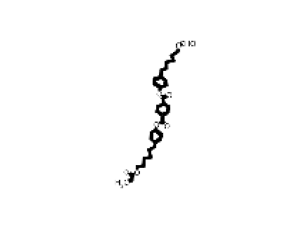 C=CC(=O)OCCCCCCc1ccc(OC(=O)C2CCC(C(=O)Oc3ccc(CCCCCCOC=O)cc3)CC2)cc1